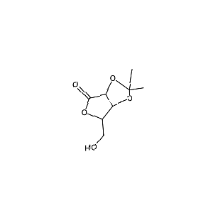 CC1(C)OC2C(=O)OC(CO)C2O1